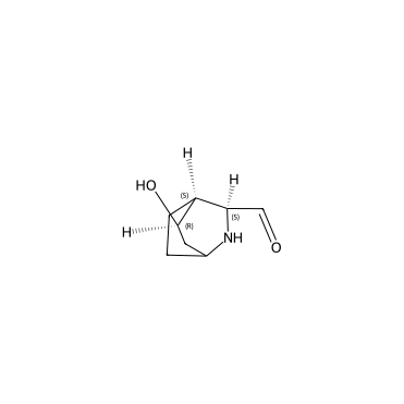 O=C[C@H]1NC2CC[C@@H]1[C@H](O)C2